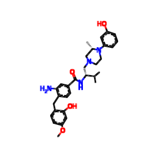 COc1ccc(Cc2ccc(C(=O)N[C@H](CN3CCN(c4cccc(O)c4)[C@@H](C)C3)C(C)C)cc2N)c(O)c1